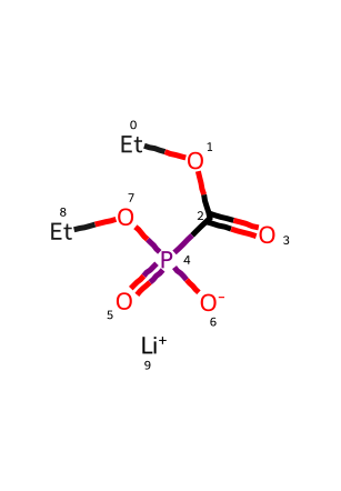 CCOC(=O)P(=O)([O-])OCC.[Li+]